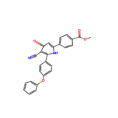 COC(=O)c1ccc(-c2cc(=O)c(C#N)c(-c3ccc(Oc4ccccc4)cc3)[nH]2)cc1